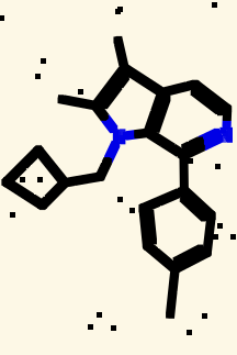 Cc1ccc(-c2nccc3c(C)c(C)n(CC4CCC4)c23)cc1